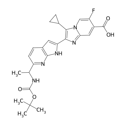 CC(NC(=O)OC(C)(C)C)c1ccc2cc(-c3nc4cc(C(=O)O)c(F)cn4c3C3CC3)[nH]c2n1